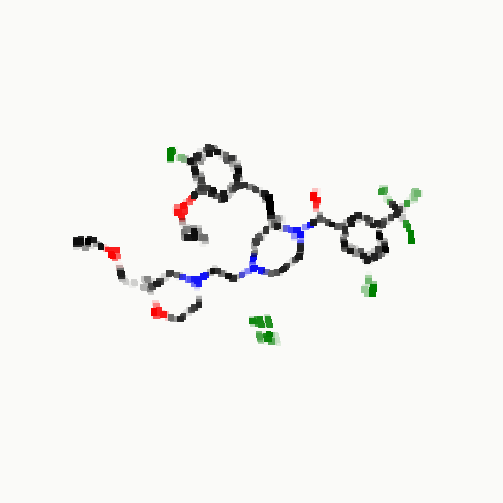 COC[C@@H]1CN(CCN2CCN(C(=O)c3cc(Cl)cc(C(F)(F)F)c3)[C@H](Cc3ccc(F)c(OC)c3)C2)CCO1.Cl.Cl